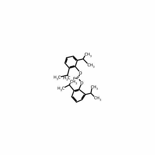 CC(C)c1cccc(C(C)C)c1OP(F)Oc1c(C(C)C)cccc1C(C)C